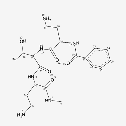 CNC(=O)C(CCN)NC(=O)C(NC(=O)C(CCN)NC(=O)c1ccccc1)C(C)O